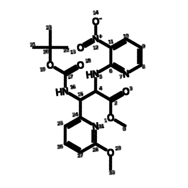 COC(=O)C(Nc1ncccc1[N+](=O)[O-])C(NC(=O)OC(C)(C)C)c1cccc(OC)n1